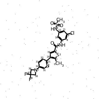 Cc1sc(C(=O)Nc2cc(Cl)cc(NS(C)(=O)=O)c2)cc1-c1ccc(N2CC(F)(F)C2)cn1